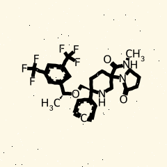 CNC(=O)C1(N2CCCC2=O)CC[C@@](CO[C@H](C)c2cc(C(F)(F)F)cc(C(F)(F)F)c2)(c2ccccc2)NC1